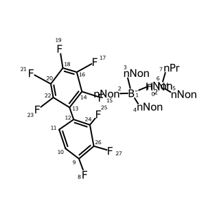 CCCCCCCCC[B-](CCCCCCCCC)(CCCCCCCCC)CCCCCCCCC.CCCCCCCCC[NH2+]CCC.Fc1ccc(-c2c(F)c(F)c(F)c(F)c2F)c(F)c1F